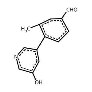 Cc1cc(C=O)ccc1-c1cncc(O)c1